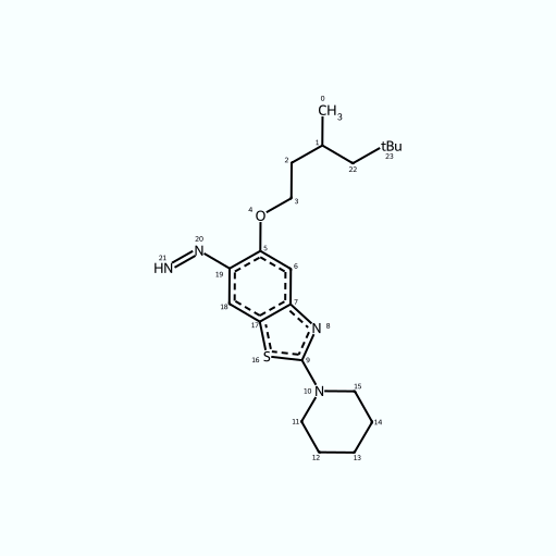 CC(CCOc1cc2nc(N3CCCCC3)sc2cc1N=N)CC(C)(C)C